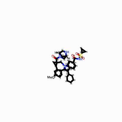 COc1ccc2c(c1)C1CC1(C(=O)N1C[C@@H]3C[C@H]1CN3)Cn1c-2c(C2CCCCC2)c2ccc(C(=O)NS(=O)(=O)C3CC3)cc21